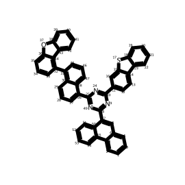 c1ccc2c(c1)cc(-c1nc(-c3ccc4c(c3)sc3ccccc34)nc(-c3cccc4c(-c5cccc6oc7ccccc7c56)cccc34)n1)c1ccccc12